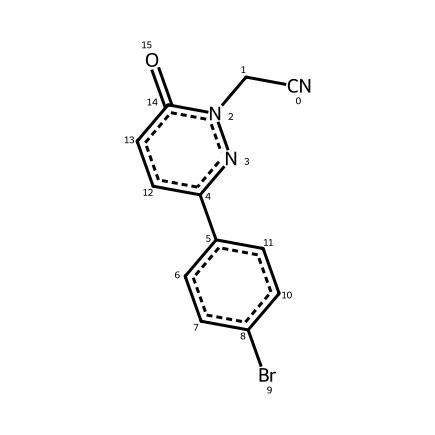 N#CCn1nc(-c2ccc(Br)cc2)ccc1=O